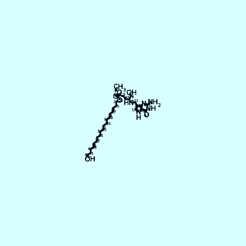 CCOP(=O)(CC[C@@H](CO)NCc1c[nH]c2c(=O)[nH]c(N)nc12)OCCCCCCCCCCCCCCCCCCCO